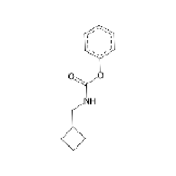 O=C(NCC1CCC1)Oc1ccccc1